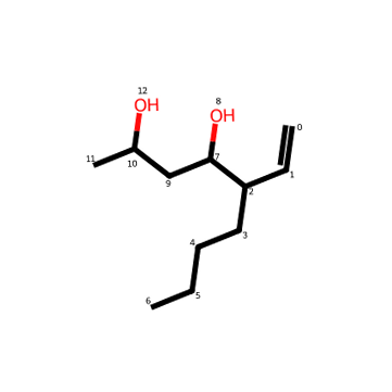 C=CC(CCCC)C(O)CC(C)O